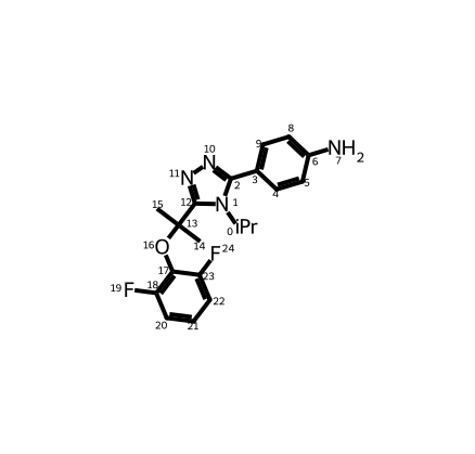 CC(C)n1c(-c2ccc(N)cc2)nnc1C(C)(C)Oc1c(F)cccc1F